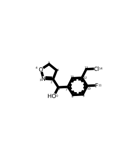 OC(C1=NOCC1)c1ccc(F)c(CCl)c1